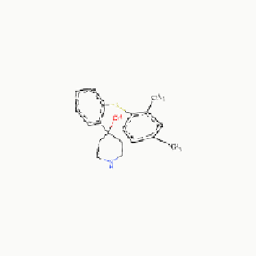 Cc1ccc(Sc2ccccc2C2(O)CCNCC2)c(C)c1